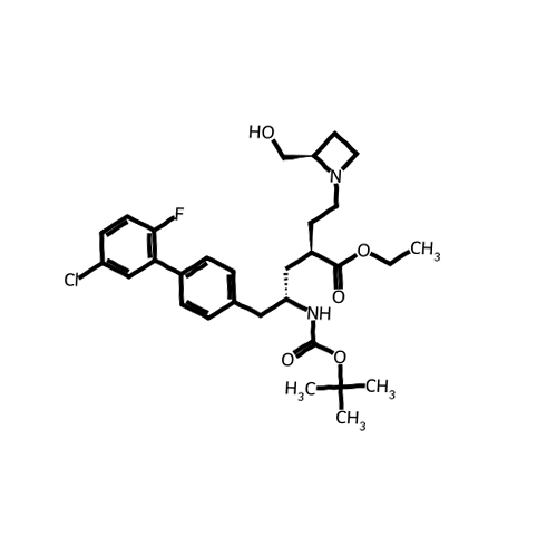 CCOC(=O)[C@H](CCN1CC[C@@H]1CO)C[C@@H](Cc1ccc(-c2cc(Cl)ccc2F)cc1)NC(=O)OC(C)(C)C